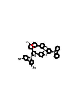 CC(C)c1ccc(-c2cc(-c3ccc4c(c3)B3c5cc(-c6ccccc6)ccc5Oc5cc(-n6c7ccccc7c7ccccc76)cc(c53)O4)nc(-n3c4ccc(C#N)cc4c4cc(C(C)(C)C)ccc43)c2)cc1